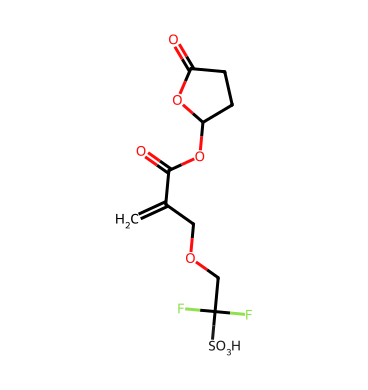 C=C(COCC(F)(F)S(=O)(=O)O)C(=O)OC1CCC(=O)O1